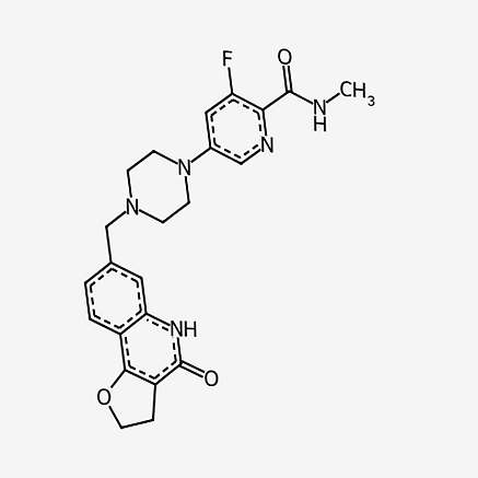 CNC(=O)c1ncc(N2CCN(Cc3ccc4c5c(c(=O)[nH]c4c3)CCO5)CC2)cc1F